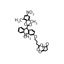 Cc1cc([N+](=O)[O-])cc(C)c1OC(=O)C1c2ccccc2N(C)c2cc(OCCCC(=O)ON3C(=O)CCC3=O)ccc21